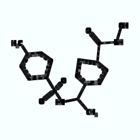 Cc1ccc(S(=O)(=O)NC(C)c2ccc(C(=O)NO)cc2)cc1